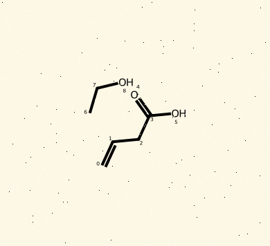 C=CCC(=O)O.CCO